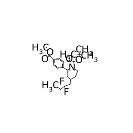 CCC(F)(F)CC1C=C(c2ccc(C(=O)OC)cc2)N(C(=O)OC(C)(C)C)CC1